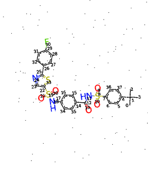 CC(C)(C)c1ccc(S(=O)(=O)NC(=O)c2ccc(NS(=O)(=O)c3cnc(-c4ccc(F)cc4)s3)cc2)cc1